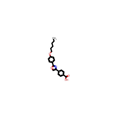 CCCCCCOc1ccc(-c2nc(-c3ccc(C(=O)O)cc3)co2)cc1